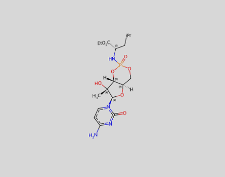 CCOC(=O)[C@H](CC(C)C)NP1(=O)OC[C@H]2O[C@@H](n3ccc(N)nc3=O)[C@](C)(O)[C@@H]2O1